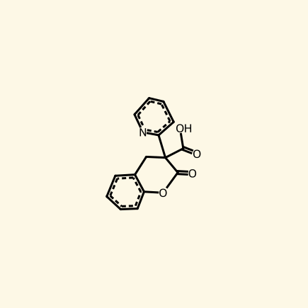 O=C(O)C1(c2ccccn2)Cc2ccccc2OC1=O